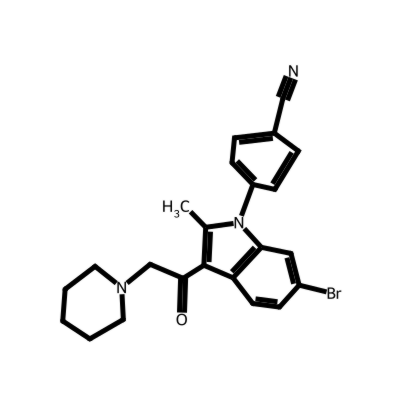 Cc1c(C(=O)CN2CCCCC2)c2ccc(Br)cc2n1-c1ccc(C#N)cc1